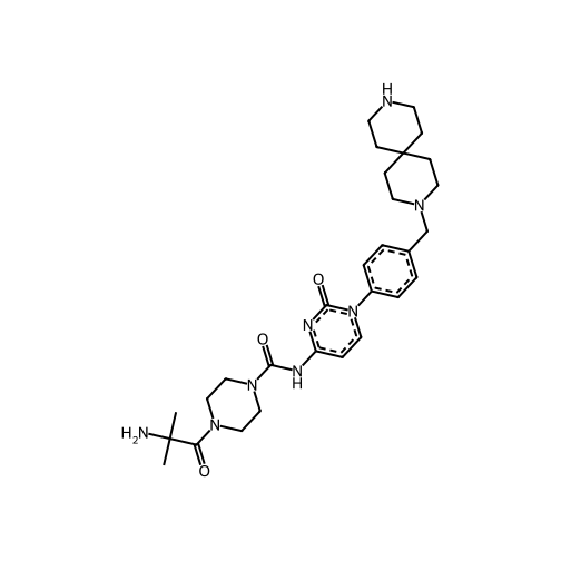 CC(C)(N)C(=O)N1CCN(C(=O)Nc2ccn(-c3ccc(CN4CCC5(CCNCC5)CC4)cc3)c(=O)n2)CC1